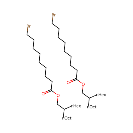 CCCCCCCCC(CCCCCC)COC(=O)CCCCCCCCBr.CCCCCCCCC(CCCCCC)COC(=O)CCCCCCCCBr